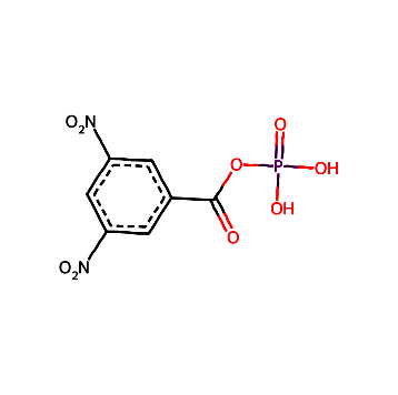 O=C(OP(=O)(O)O)c1cc([N+](=O)[O-])cc([N+](=O)[O-])c1